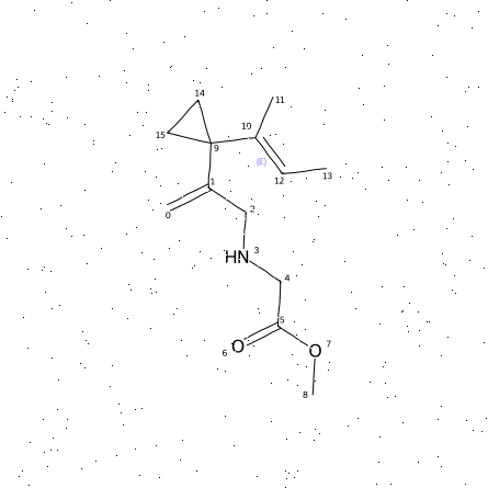 C=C(CNCC(=O)OC)C1(/C(C)=C/C)CC1